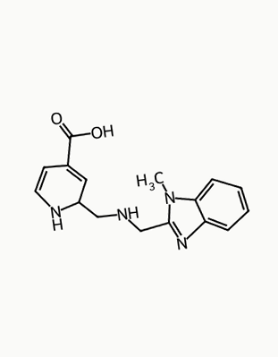 Cn1c(CNCC2C=C(C(=O)O)C=CN2)nc2ccccc21